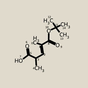 CC(=CC(C)C(=O)O)C(=O)OC(C)(C)C